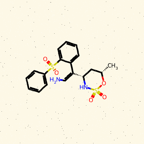 C[C@H]1C[C@@H](/C(=C/N)c2ccccc2S(=O)(=O)c2ccccc2)NS(=O)(=O)O1